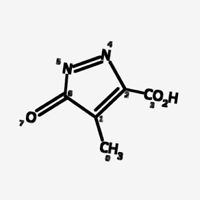 CC1=C(C(=O)O)N=NC1=O